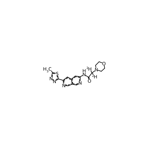 [2H]C([2H])(C(=O)Nc1cc2cc(-c3nnc(C)s3)ncc2cn1)N1CCOCC1